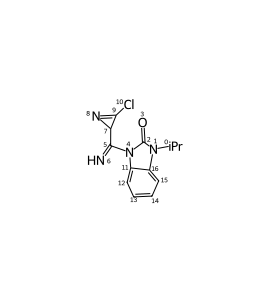 CC(C)n1c(=O)n(C(=N)C2N=C2Cl)c2ccccc21